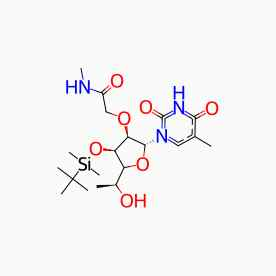 CNC(=O)CO[C@@H]1[C@H](O[Si](C)(C)C(C)(C)C)C([C@H](C)O)O[C@H]1n1cc(C)c(=O)[nH]c1=O